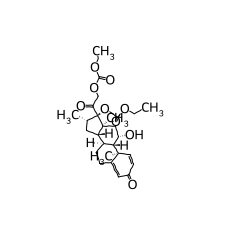 CCOC(=O)OCC(=O)[C@@]1(OC(=O)OCC)[C@@H](C)C[C@H]2[C@@H]3CCC4=CC(=O)C=C[C@]4(C)[C@H]3[C@@H](O)C[C@@]21C